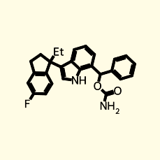 CCC1(c2c[nH]c3c(C(OC(N)=O)c4ccccc4)cccc23)CCc2cc(F)ccc21